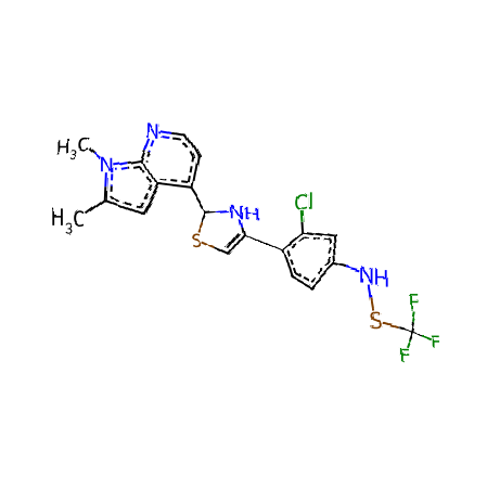 Cc1cc2c(C3NC(c4ccc(NSC(F)(F)F)cc4Cl)=CS3)ccnc2n1C